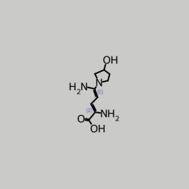 N/C(=C\C=C(/N)N1CCC(O)C1)C(=O)O